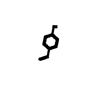 [N]=Nc1ccc(O)cc1